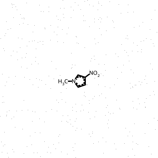 Cn1c[c]c([N+](=O)[O-])c1